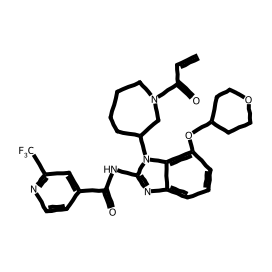 C=CC(=O)N1CCCCC(n2c(NC(=O)c3ccnc(C(F)(F)F)c3)nc3cccc(OC4CCOCC4)c32)C1